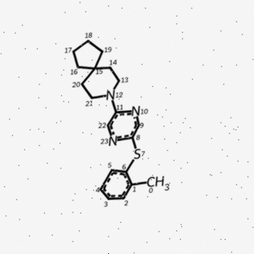 Cc1ccccc1Sc1cnc(N2CCC3(CCCC3)CC2)cn1